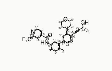 Cc1ccc(NC(=O)c2ccnc(C(F)(F)F)c2)cc1-c1cnc(C#C[C@@H](C)O)c(N2CCOCC2)c1